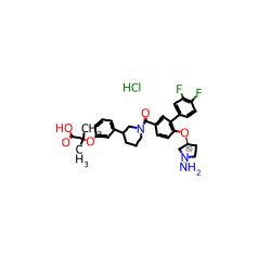 CC(C)(Oc1cccc(C2CCCN(C(=O)c3ccc(O[C@H]4CCN(N)C4)c(-c4ccc(F)c(F)c4)c3)C2)c1)C(=O)O.Cl